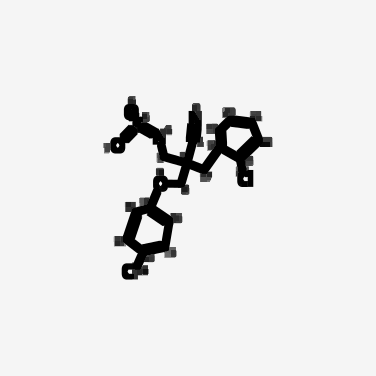 N#CC(CN=S(=O)=O)(COc1ccc(Cl)cc1)Cc1ccccc1Cl